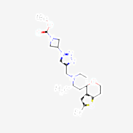 CCc1cc2c(s1)CCO[C@@]21CCN(Cc2cn(C3CN(C(=O)OC(C)(C)C)C3)nn2)[C@@H](C)C1